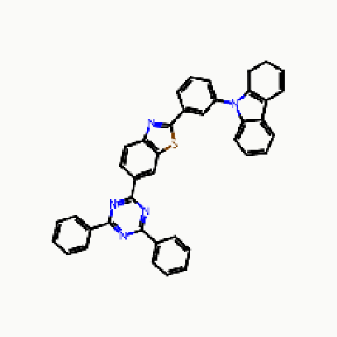 C1=Cc2c(n(-c3cccc(-c4nc5ccc(-c6nc(-c7ccccc7)nc(-c7ccccc7)n6)cc5s4)c3)c3ccccc23)CC1